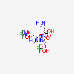 CC(C)[C@H](NC(=O)[C@@H](N)CCCCN)C(=O)N[C@@H](CCCCN)C(=O)O.O=C(O)C(F)(F)F.O=C(O)C(F)(F)F